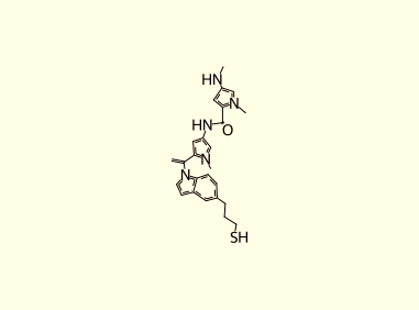 C=C(c1cc(NC(=O)c2cc(NC)cn2C)cn1C)n1ccc2cc(CCCS)ccc21